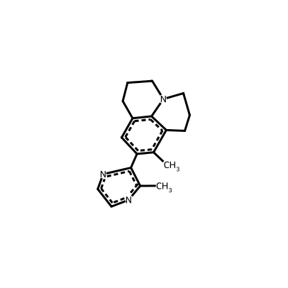 Cc1nccnc1-c1cc2c3c(c1C)CCCN3CCC2